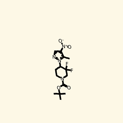 Cc1c([N+](=O)[O-])cnn1C1CCN(C(=O)OC(C)(C)C)CC1(F)F